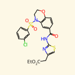 CCOC(=O)Cc1csc(NC(=O)c2ccc3c(c2)N(S(=O)(=O)c2cccc(Cl)c2)CCO3)n1